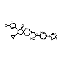 O=C1C=C(N2C(=O)C3(CCN(C[C@H](O)c4ccc(-n5cnnn5)nn4)CC3)CC2C2CC2)CO1